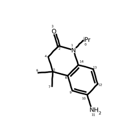 CC(C)N1C(=O)CC(C)(C)c2cc(N)ccc21